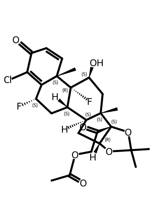 CC(=O)OCC(=O)[C@@]12OC(C)(C)O[C@@H]1C[C@H]1[C@@H]3C[C@H](F)C4=C(Cl)C(=O)C=C[C@]4(C)[C@@]3(F)[C@@H](O)C[C@@]12C